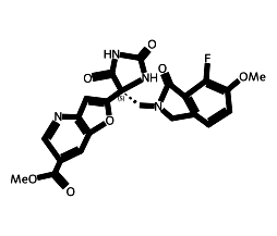 COC(=O)c1cnc2cc([C@]3(CN4Cc5ccc(OC)c(F)c5C4=O)NC(=O)NC3=O)oc2c1